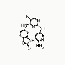 Nc1ccc(Nc2ncc(F)c(Nc3ccc4oc(=O)[nH]c4c3)n2)cn1